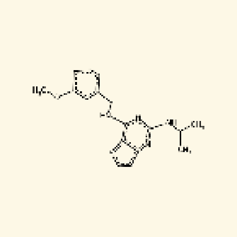 COc1cccc(CNc2nc(NC(C)C)nc3ccsc23)c1